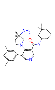 Cc1cc(C)cc(-c2cncc(C(=O)NC3CCCC(C)(C)C3)c2N2CC[C@](C)(N)C2)c1